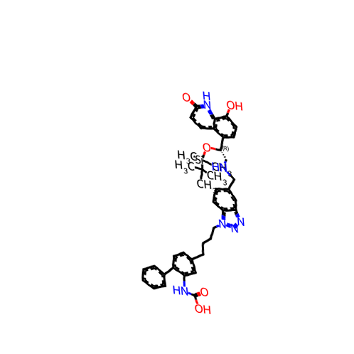 CC(C)(C)[Si](C)(C)O[C@@H](CNCc1ccc2c(c1)nnn2CCCCc1ccc(-c2ccccc2)c(NC(=O)O)c1)c1ccc(O)c2[nH]c(=O)ccc12